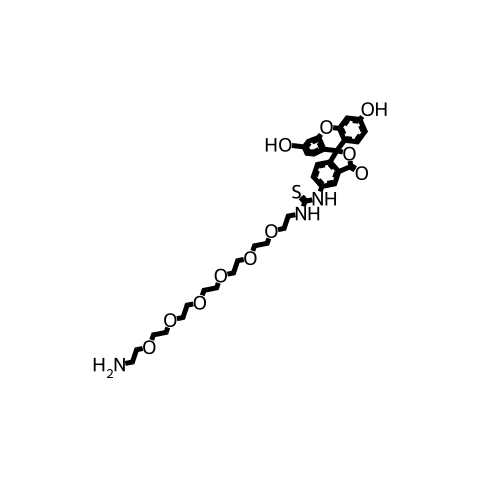 NCCOCCOCCOCCOCCOCCOCCNC(=S)Nc1ccc2c(c1)C(=O)OC21c2ccc(O)cc2Oc2cc(O)ccc21